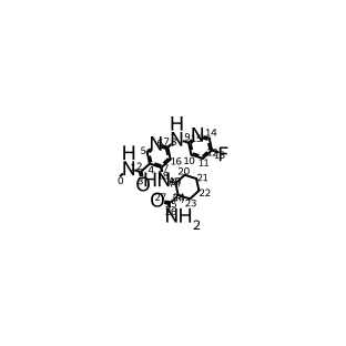 CNC(=O)c1cnc(Nc2ccc(F)cn2)cc1N[C@H]1CCCC[C@H]1C(N)=O